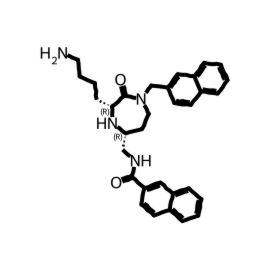 NCCCC[C@H]1N[C@@H](CNC(=O)c2ccc3ccccc3c2)CCN(Cc2ccc3ccccc3c2)C1=O